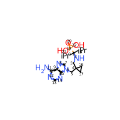 CC(C)C(NCC1(Cn2cnc3c(N)ncnc32)CC1)(C(C)C)P(=O)(O)O